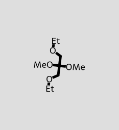 [CH2]COCC(COC[CH2])(OC)OC